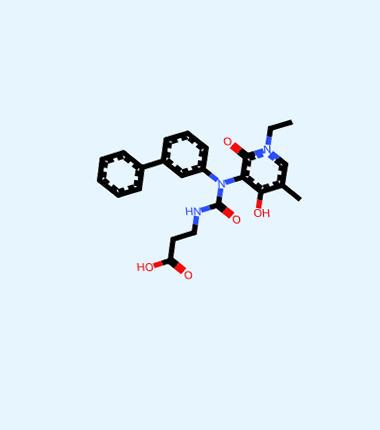 CCn1cc(C)c(O)c(N(C(=O)NCCC(=O)O)c2cccc(-c3ccccc3)c2)c1=O